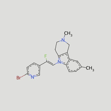 Cc1ccc2c(c1)c1c(n2C=C(F)c2ccc(Br)nc2)CCN(C)C1